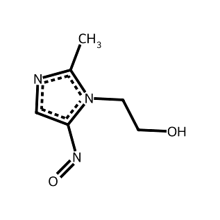 Cc1ncc(N=O)n1CCO